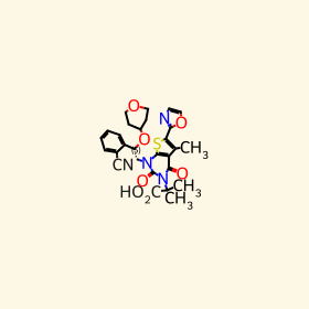 Cc1c(-c2ncco2)sc2c1c(=O)n(C(C)(C)C(=O)O)c(=O)n2C[C@@H](OC1CCOCC1)c1ccccc1C#N